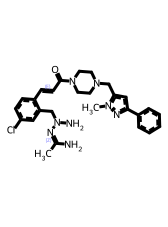 C/C(N)=N/N(N)Cc1cc(Cl)ccc1/C=C/C(=O)N1CCN(Cc2cc(-c3ccccc3)nn2C)CC1